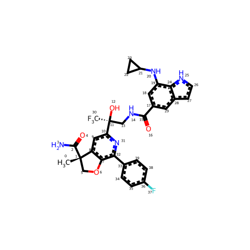 C[C@]1(C(N)=O)COc2c1cc([C@@](O)(CNC(=O)c1cc(NC3CC3)c3[nH]ccc3c1)C(F)(F)F)nc2-c1ccc(F)cc1